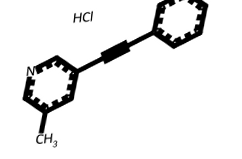 Cc1cncc(C#Cc2ccccc2)c1.Cl